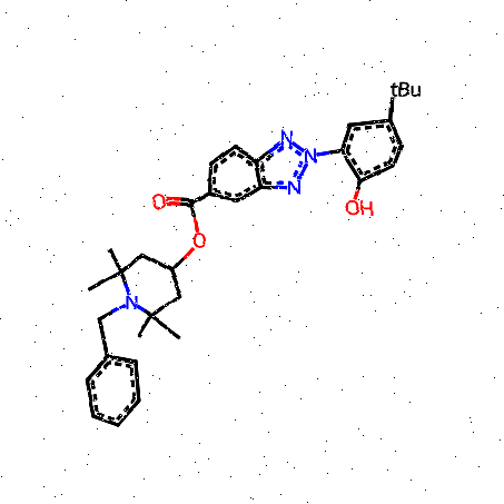 CC(C)(C)c1ccc(O)c(-n2nc3ccc(C(=O)OC4CC(C)(C)N(Cc5ccccc5)C(C)(C)C4)cc3n2)c1